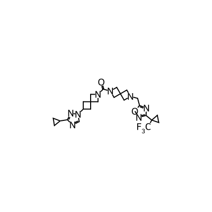 O=C(N1CC2(CC(n3cnc(C4CC4)n3)C2)C1)N1CC2(CN(Cc3nc(C4(C(F)(F)F)CC4)no3)C2)C1